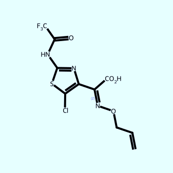 C=CCO/N=C(\C(=O)O)c1nc(NC(=O)C(F)(F)F)sc1Cl